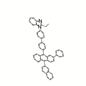 CCc1nc2ccccc2n1-c1ccc(-c2ccc(-c3c4ccccc4c(-c4ccc5ccccc5c4)c4ccc(-c5ccccc5)cc34)cc2)cc1